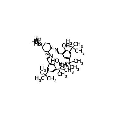 Br.Br.CC(C)(C)c1cc(C=N[C@H]2CCCC[C@@H]2N=Cc2cc(C(C)(C)C)cc(C(C)(C)C)c2O)c(O)c(C(C)(C)C)c1.[Sn]